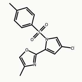 Cc1ccc(S(=O)(=O)n2cc(Cl)cc2-c2nc(C)co2)cc1